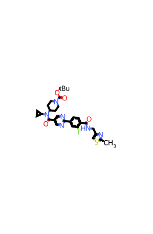 Cc1nc(CNC(=O)c2ccc(-c3ncc(C(=O)N(C4CC4)C4CCN(C(=O)OC(C)(C)C)CC4)cn3)cc2F)cs1